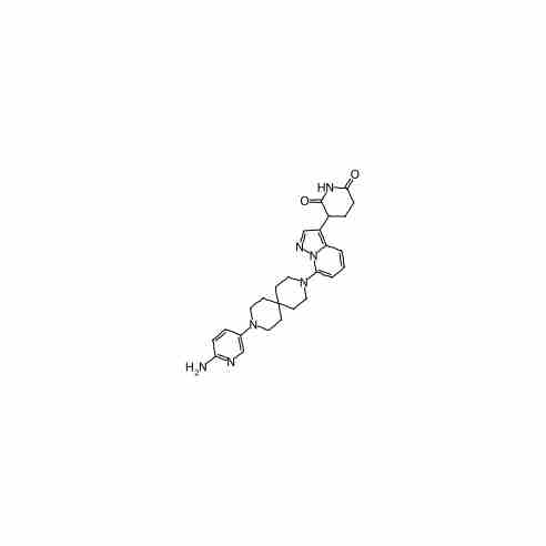 Nc1ccc(N2CCC3(CC2)CCN(c2cccc4c(C5CCC(=O)NC5=O)cnn24)CC3)cn1